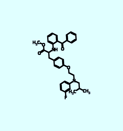 COC(=O)C(Cc1ccc(OCCN(CC(C)C)c2cccc(F)c2)cc1)Nc1ccccc1C(=O)c1ccccc1